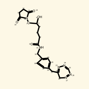 O=C(CCCC(O)ON1C(=O)CCC1=O)NCc1ccc(CC2=NN=CN=NC2)cc1